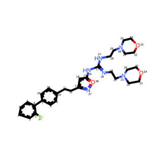 Fc1ccccc1-c1ccc(CCc2cc(NC(=NCCN3CCOCC3)NCCN3CCOCC3)on2)cc1